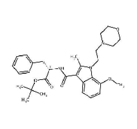 COc1cccc2c(C(=O)N[C@@H](Cc3ccccc3)C(=O)OC(C)(C)C)c(C)n(CCN3CCOCC3)c12